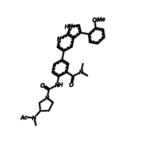 COc1ccccc1-c1c[nH]c2ncc(-c3ccc(NC(=O)N4CCC(N(C)C(C)=O)C4)c(C(=O)N(C)C)c3)cc12